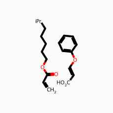 C=CC(=O)OCCCCCC(C)C.O=C(O)C=COc1ccccc1